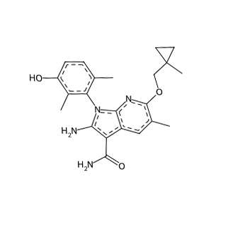 Cc1cc2c(C(N)=O)c(N)n(-c3c(C)ccc(O)c3C)c2nc1OCC1(C)CC1